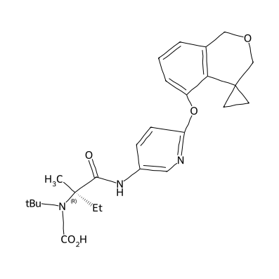 CC[C@](C)(C(=O)Nc1ccc(Oc2cccc3c2C2(CC2)COC3)nc1)N(C(=O)O)C(C)(C)C